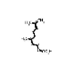 CC(C)=CCCC(C)CCOC(=O)O